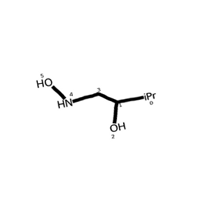 CC(C)C(O)CNO